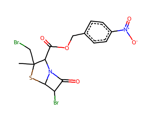 CC1(CBr)SC2C(Br)C(=O)N2C1C(=O)OCc1ccc([N+](=O)[O-])cc1